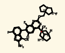 N#Cc1c(N)sc2c(F)ccc(-c3c(Cl)cc4c(N5C[C@H]6CC[C@@H](C5)N6CC(F)(F)F)nc(OC[C@@]56CCCN5C[C@H](F)C6)nc4c3F)c12